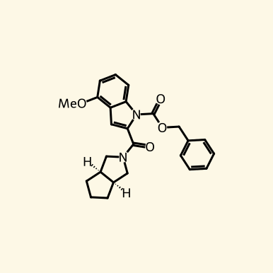 COc1cccc2c1cc(C(=O)N1C[C@H]3CCC[C@H]3C1)n2C(=O)OCc1ccccc1